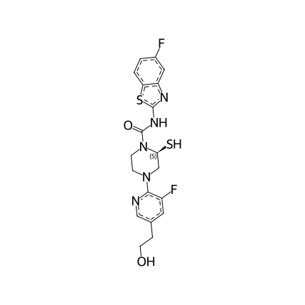 O=C(Nc1nc2cc(F)ccc2s1)N1CCN(c2ncc(CCO)cc2F)C[C@@H]1S